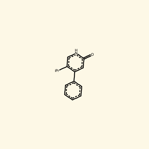 CC(C)c1c[nH]c(=O)cc1-c1ccccc1